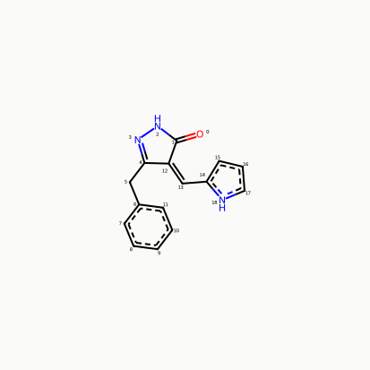 O=C1NN=C(Cc2ccccc2)C1=Cc1ccc[nH]1